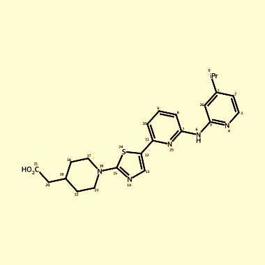 CC(C)c1ccnc(Nc2cccc(-c3cnc(N4CCC(CC(=O)O)CC4)s3)n2)c1